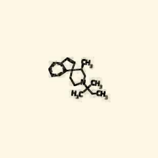 CCC(C)(C)N1CCC2(C=Cc3ccccc32)[C@@H](C)C1